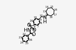 O=C(NS(=O)(=O)c1ccc(CNC2CCCCCC2)cc1)c1ccccc1